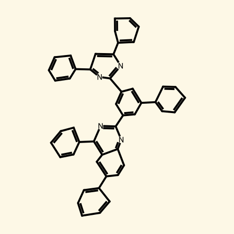 c1ccc(-c2cc(-c3nc(-c4ccccc4)cc(-c4ccccc4)n3)cc(-c3nc(-c4ccccc4)c4cc(-c5ccccc5)ccc4n3)c2)cc1